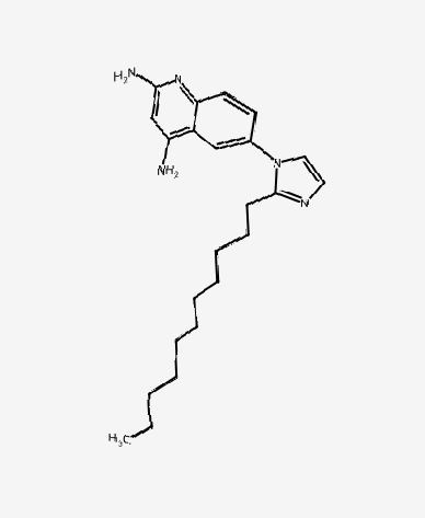 CCCCCCCCCCCc1nccn1-c1ccc2nc(N)cc(N)c2c1